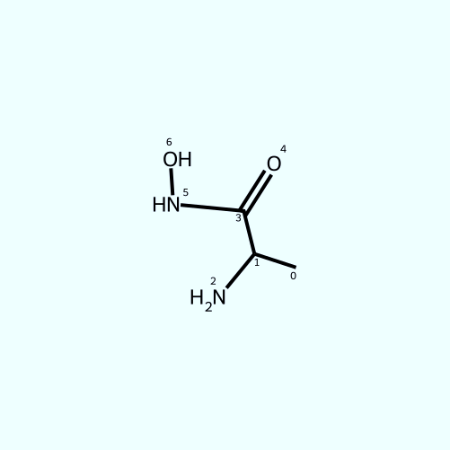 CC(N)C(=O)NO